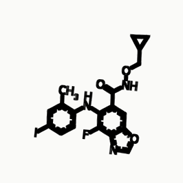 Cc1cc(I)ccc1Nc1c(C(=O)NOCC2CC2)cc2ocnc2c1F